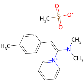 CS(=O)(=O)[O-].Cc1ccc(C=C(N(C)C)[n+]2ccccc2)cc1